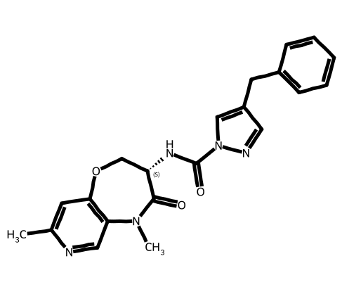 Cc1cc2c(cn1)N(C)C(=O)[C@@H](NC(=O)n1cc(Cc3ccccc3)cn1)CO2